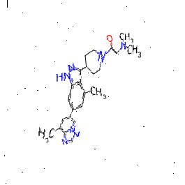 Cc1cc(-c2cc(C)c3ncnn3c2)cc2[nH]nc(C3CCN(C(=O)CN(C)C)CC3)c12